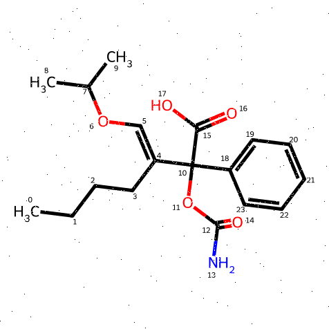 CCCCC(=COC(C)C)C(OC(N)=O)(C(=O)O)c1ccccc1